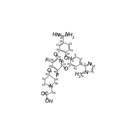 Cn1ccnc1-c1cccc(Oc2nc(Oc3cc(C(=N)N)ccc3O)c(F)c(OC3CCN(CC(=O)O)CC3)c2F)c1